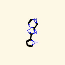 c1c[nH]c(-c2nc3cnccn3n2)c1